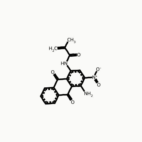 C=C(C)C(=O)Nc1cc([N+](=O)[O-])c(N)c2c1C(=O)c1ccccc1C2=O